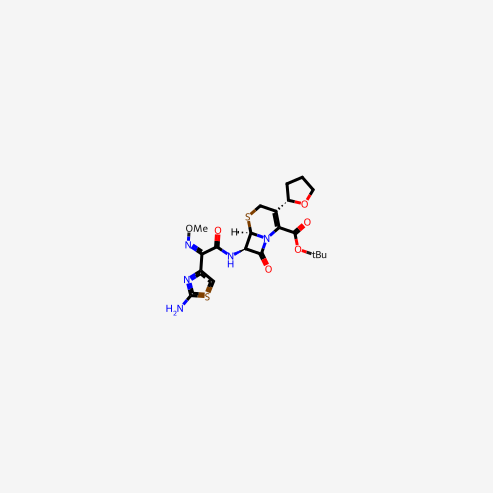 CO/N=C(\C(=O)N[C@@H]1C(=O)N2C(C(=O)OC(C)(C)C)=C([C@@H]3CCCO3)CS[C@H]12)c1csc(N)n1